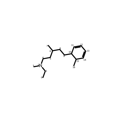 CCN(C)CCC(C)CCC1C=CC=CC1C